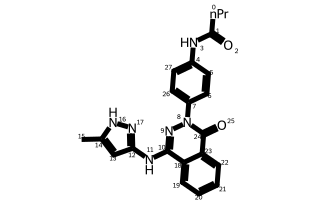 CCCC(=O)Nc1ccc(-n2nc(Nc3cc(C)[nH]n3)c3ccccc3c2=O)cc1